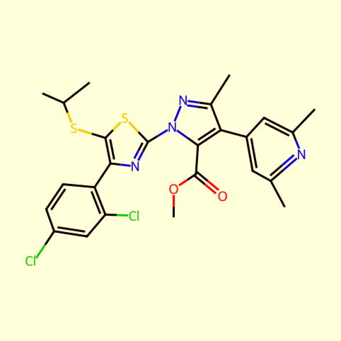 COC(=O)c1c(-c2cc(C)nc(C)c2)c(C)nn1-c1nc(-c2ccc(Cl)cc2Cl)c(SC(C)C)s1